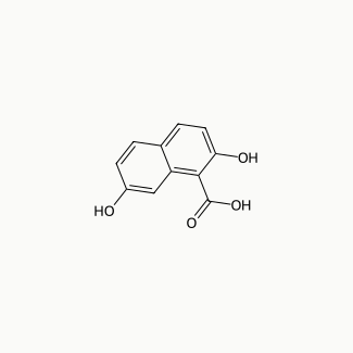 O=C(O)c1c(O)ccc2ccc(O)cc12